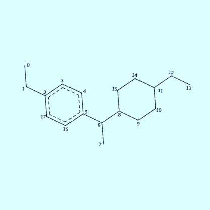 CCc1ccc(C(C)C2CCC(CC)CC2)cc1